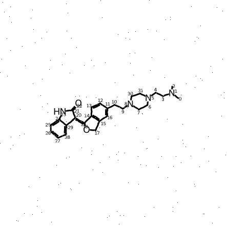 CN(C)CCN1CCN(CCc2ccc3c(c2)COC3=C2C(=O)Nc3ccccc32)CC1